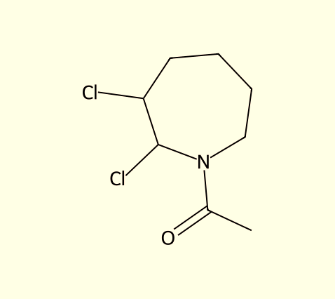 CC(=O)N1CCCCC(Cl)C1Cl